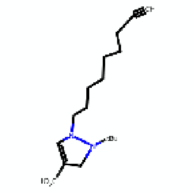 C#CCCCCCCCN1C=C(C(=O)O)CN1C(C)(C)C